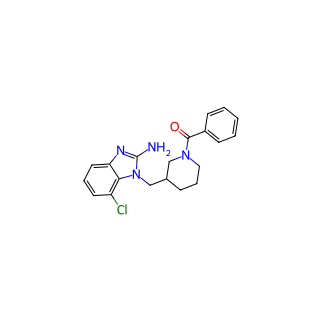 Nc1nc2cccc(Cl)c2n1CC1CCCN(C(=O)c2ccccc2)C1